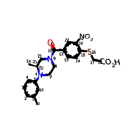 Cc1cccc(N2CCN(C(=O)c3ccc(SCC(=O)O)c([N+](=O)[O-])c3)C[C@@H]2C)c1